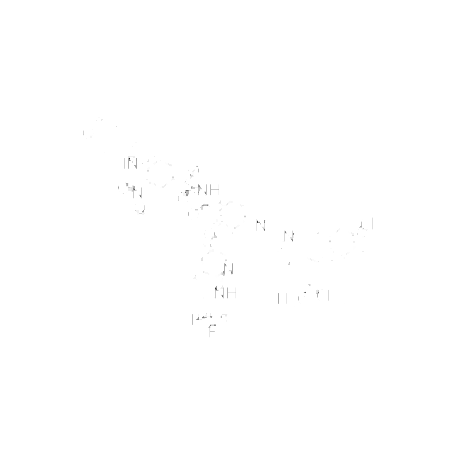 CC1(C)CCC(CN2CCN(c3ccc(C(=O)NS(=O)(=O)c4ccc(NCC5CCOCC5)c([N+](=O)[O-])c4)c(Oc4ccc(NCC(F)(F)F)nc4)c3)CC2)=C(c2ccc(Cl)cc2)C1